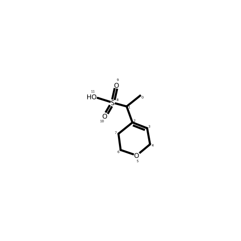 CC(C1=CCOCC1)S(=O)(=O)O